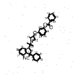 CC(C)(CCC(C#N)(c1ccccc1)c1ccccc1)N1CC(Oc2cccc(OC(=O)c3ccccc3)c2)C1